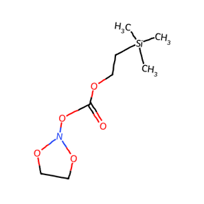 C[Si](C)(C)CCOC(=O)ON1OCCO1